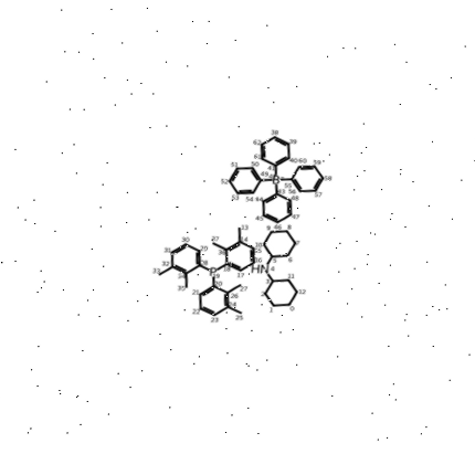 C1CCC(NC2CCCCC2)CC1.Cc1cccc(P(c2cccc(C)c2C)c2cccc(C)c2C)c1C.c1ccc([B-](c2ccccc2)(c2ccccc2)c2ccccc2)cc1